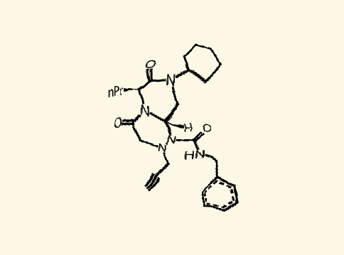 C#CCN1CC(=O)N2[C@@H](CCC)C(=O)N(C3CCCCC3)C[C@@H]2N1C(=O)NCc1ccccc1